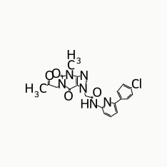 CC(=O)Cn1c(=O)c2c(ncn2CC(=O)Nc2cccc(-c3ccc(Cl)cc3)n2)n(C)c1=O